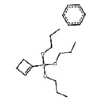 CCCO[Si](OCCC)(OCCC)C1=CCC1.c1ccccc1